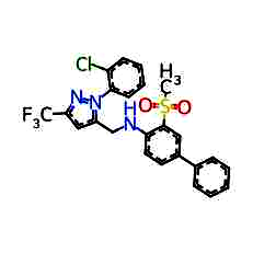 CS(=O)(=O)c1cc(-c2ccccc2)ccc1NCc1cc(C(F)(F)F)nn1-c1ccccc1Cl